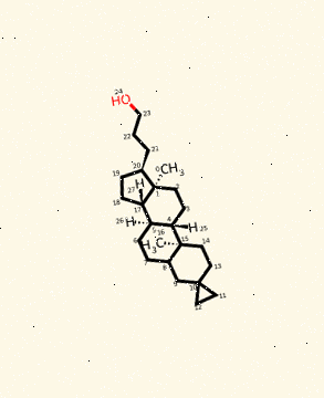 C[C@]12CC[C@H]3[C@@H](CCC4CC5(CC5)CC[C@@]43C)[C@@H]1CC[C@H]2CCCO